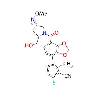 CO/N=C1/CC(CO)N(C(=O)c2ccc(-c3ccc(F)c(C#N)c3C)c3c2OCO3)C1